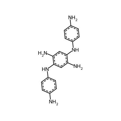 Nc1ccc(Nc2cc(N)c(Nc3ccc(N)cc3)cc2N)cc1